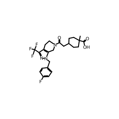 CC1(C(=O)O)CCC(CC(=O)N2CCc3c(C(F)(F)F)nn(Cc4ccc(F)cc4)c3C2)CC1